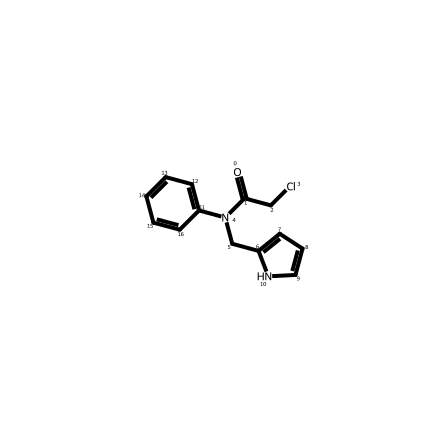 O=C(CCl)N(Cc1ccc[nH]1)c1ccccc1